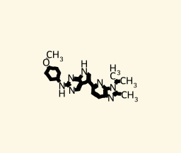 COC1CCC(Nc2ncc3c(-c4ccc5nc(C)n(C(C)C)c5n4)c[nH]c3n2)CC1